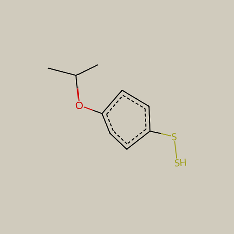 CC(C)Oc1ccc(SS)cc1